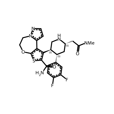 CNC(=O)C[C@@H]1C[C@H](c2ccc(F)c(F)c2)[C@@H](c2c(C(N)=O)sc3c2-c2ccnn2CCO3)CN1